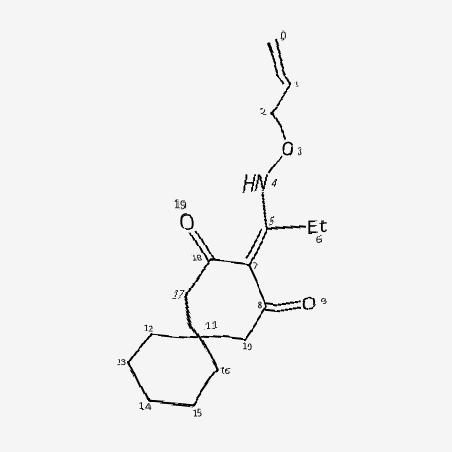 C=CCONC(CC)=C1C(=O)CC2(CCCCC2)CC1=O